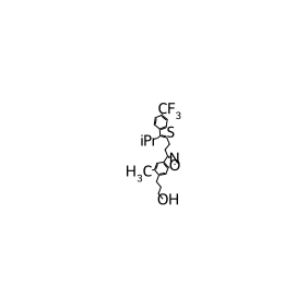 Cc1cc2c(CCc3sc4cc(C(F)(F)F)ccc4c3C(C)C)noc2cc1CCCO